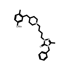 COc1ccc(C)c(CC2CCN(CCCCn3nc(C)n(Cc4ccccc4)c3=O)CC2)c1